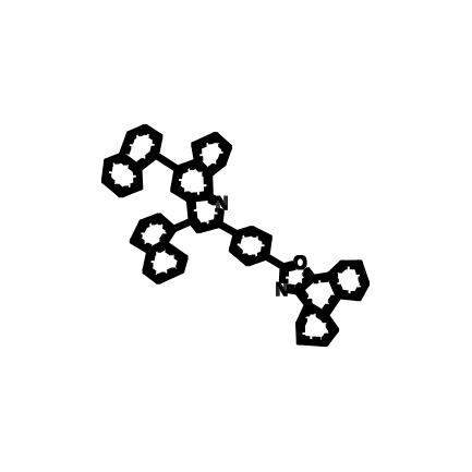 c1ccc2c(-c3cc4c(-c5cccc6ccccc56)cc(-c5ccc(-c6nc7c8ccccc8c8ccccc8c7o6)cc5)nc4c4ccccc34)cccc2c1